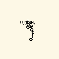 NC(=S)c1oc2cccc(C(=O)c3ccc(OCCCCc4ccccc4)cc3)c2c(=O)c1N